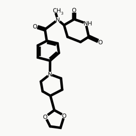 CN(C(=O)c1ccc(N2CCC(C3OCCO3)CC2)cc1)C1CCC(=O)NC1=O